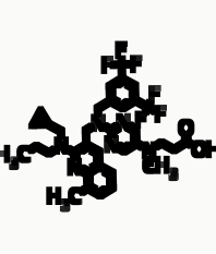 CCCN(CC1CC1)c1nc2c(C)cccc2cc1CN(Cc1cc(C(F)(F)F)cc(C(F)(F)F)c1)c1ncc(N(C)CCC(=O)O)cn1